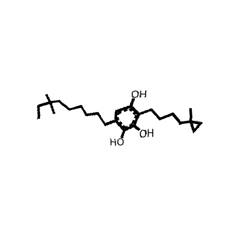 CCC(C)(C)CCCCCCc1cc(O)c(CCCCC2(C)CC2)c(O)c1O